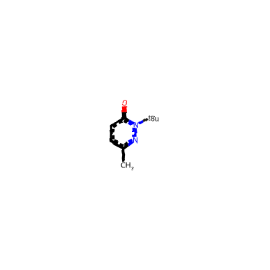 Cc1ccc(=O)n(C(C)(C)C)n1